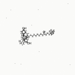 C=C1[C@H](O)C[C@H]2[C@@H]3[C@H](CCCCCCCCC[S+]([O-])CCCC(F)(F)C(F)(F)F)Cc4cc(O)ccc4[C@H]3CC[C@]12C